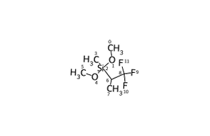 CO[Si](C)(OC)C(C)C(F)(F)F